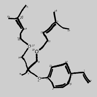 C=Cc1ccc(OC(C)(COCC=C(C)C)COCC=C(C)C)cc1